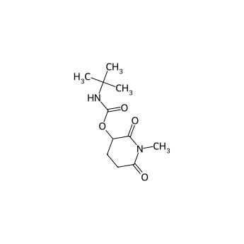 CN1C(=O)CCC(OC(=O)NC(C)(C)C)C1=O